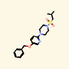 CC(C)CS(=O)(=O)N1CCN(c2ccc(OCc3ccccc3)cn2)CC1